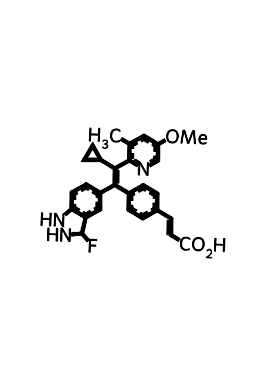 COc1cnc(/C(=C(\c2ccc(/C=C/C(=O)O)cc2)c2ccc3c(c2)C(F)NN3)C2CC2)c(C)c1